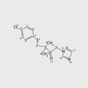 CC(C)(CSc1ccc(Cl)cc1)C(=O)Cn1ccnc1